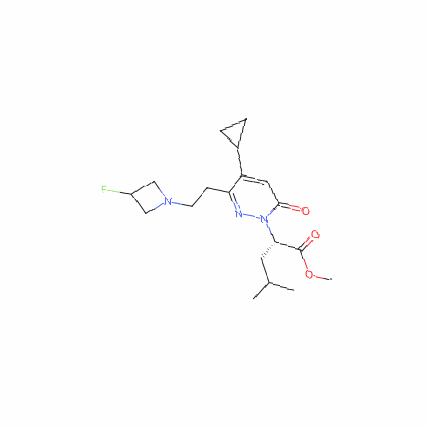 COC(=O)[C@H](CC(C)C)n1nc(CCN2CC(F)C2)c(C2CC2)cc1=O